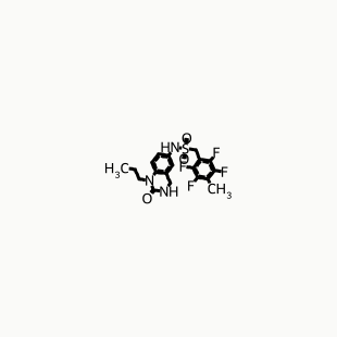 CCCN1C(=O)NCc2cc(NS(=O)(=O)Cc3c(F)c(F)c(C)c(F)c3F)ccc21